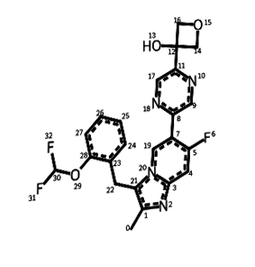 Cc1nc2cc(F)c(-c3cnc(C4(O)COC4)cn3)cn2c1Cc1ccccc1OC(F)F